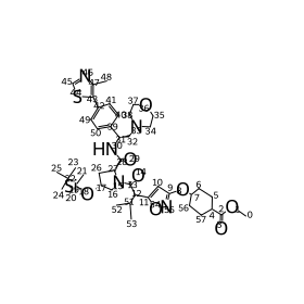 COC(=O)C1CCC(Oc2cc(C(C(=O)N3C[C@H](O[Si](C)(C)C(C)(C)C)C[C@H]3C(=O)N[C@H](CN3CCOCC3)c3ccc(-c4scnc4C)cc3)C(C)C)on2)CC1